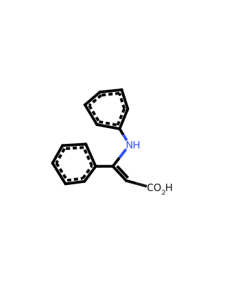 O=C(O)/C=C(\Nc1ccccc1)c1ccccc1